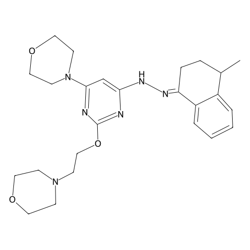 CC1CCC(=NNc2cc(N3CCOCC3)nc(OCCN3CCOCC3)n2)c2ccccc21